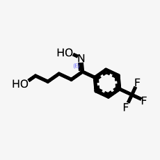 OCCCC/C(=N\O)c1ccc(C(F)(F)F)cc1